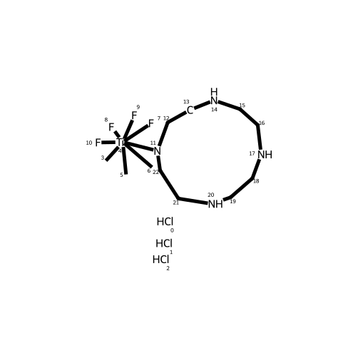 Cl.Cl.Cl.[CH3][Ti]([CH3])([CH3])([F])([F])([F])([F])[N]1CCNCCNCCNCC1